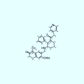 COc1cc2c(cc1CNC1CCCN(C(=O)Cc3ccncc3)C1c1ccccc1)N(C)C(=O)CC2